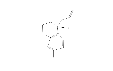 C=CC[C@@]1(C(=O)O)C[C@@H](C)Oc2cc(F)ccc21